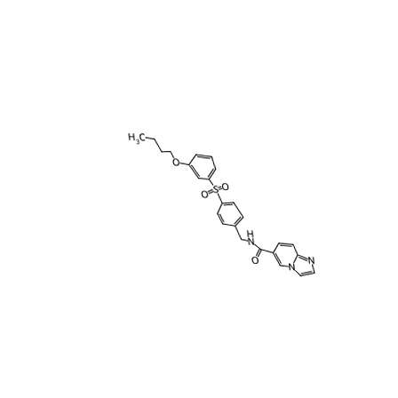 CCCCOc1cccc(S(=O)(=O)c2ccc(CNC(=O)c3ccc4nccn4c3)cc2)c1